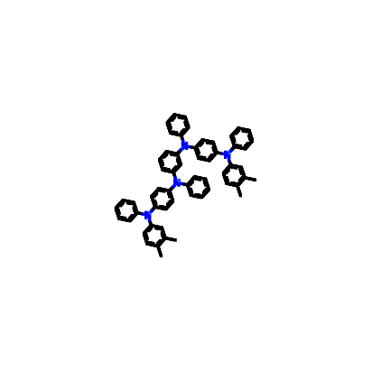 Cc1ccc(N(c2ccccc2)c2ccc(N(c3ccccc3)c3cccc(N(c4ccccc4)c4ccc(N(c5ccccc5)c5ccc(C)c(C)c5)cc4)c3)cc2)cc1C